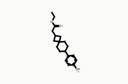 CCOC(=O)CC1CC2(CCC(c3ccc(O)cc3)CC2)C1